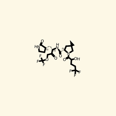 O=C1NCC[C@H]1C[C@H](NC(=O)[C@@H]1CC2(CC2)CN1C(=O)C(O)CCC(F)(F)F)C(=O)COC(F)(F)F